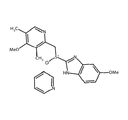 COc1ccc2[nH]c([S+]([O-])Cc3ncc(C)c(OC)c3C)nc2c1.c1ccncc1